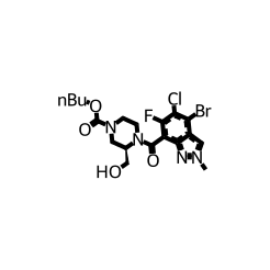 CCCCOC(=O)N1CCN(C(=O)c2c(F)c(Cl)c(Br)c3cn(C)nc23)[C@@H](CO)C1